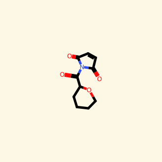 O=C1C=CC(=O)N1C(=O)C1CCCCO1